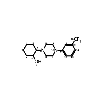 OC1CCCCC1N1CCN(c2cccc(C(F)(F)F)c2)CC1